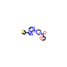 O=C(c1ccco1)N1CCN(c2nccn3c(-c4ccsc4)cnc23)CC1